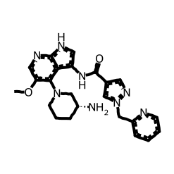 COc1cnc2[nH]cc(NC(=O)c3cnn(Cc4ccccn4)c3)c2c1N1CCC[C@@H](N)C1